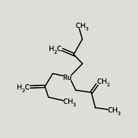 C=C(CC)[CH2][Ru]([CH2]C(=C)CC)[CH2]C(=C)CC